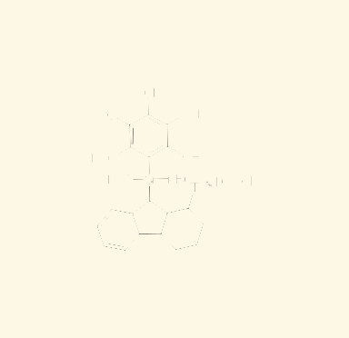 CCCC[Si](C)(c1c(C)c(C)c(C)c(C)c1C)C1C2C=CC=CC2C2CCC[CH]([Ti+3])C21.[Cl-].[Cl-].[Cl-]